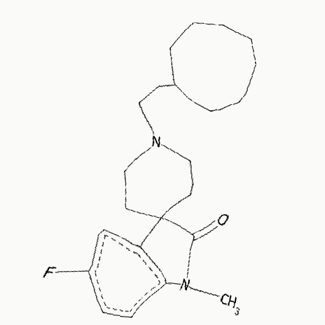 CN1C(=O)C2(CCN(CC3CCCCCCC3)CC2)c2cc(F)ccc21